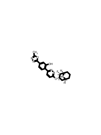 Cc1nnc(-c2ccc(-c3ccc(O[C@H]4C[C@@H]5CCC[C@@H](N5)[C@H]4F)nn3)c(O)c2)o1